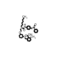 CCCCCCCN(CCOC1CCCC(OCc2cccc(C)c2C(=O)O)C1)C(=O)Nc1ccc(F)cc1.O=C=Nc1ccccc1